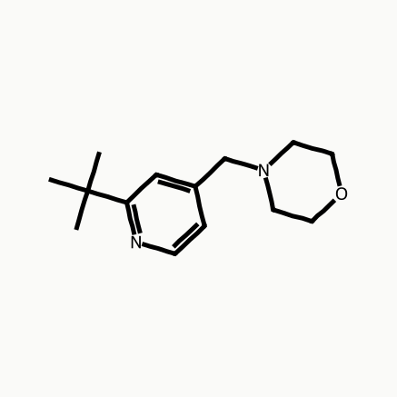 CC(C)(C)c1cc(CN2CCOCC2)ccn1